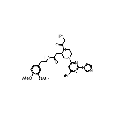 COc1ccc(CCNC(=O)CC2CN(c3cc(C(C)C)nc(-n4ccnc4)n3)CCN2C(=O)CC(C)C)cc1OC